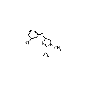 CN1CC(Oc2cccc(Cl)c2)N=C1C1CC1